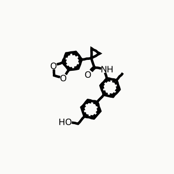 Cc1ccc(-c2ccc(CO)cc2)cc1NC(=O)C1(c2ccc3c(c2)OCO3)CC1